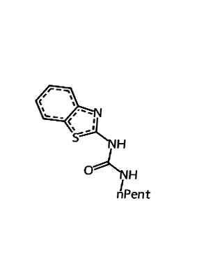 CCCCCNC(=O)Nc1nc2ccccc2s1